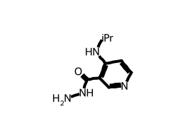 CC(C)Nc1ccncc1C(=O)NN